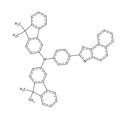 CC1(C)c2ccccc2-c2cc(N(c3ccc(-c4nc5ccc6ccccc6c5o4)cc3)c3ccc4c(c3)-c3ccccc3C4(C)C)ccc21